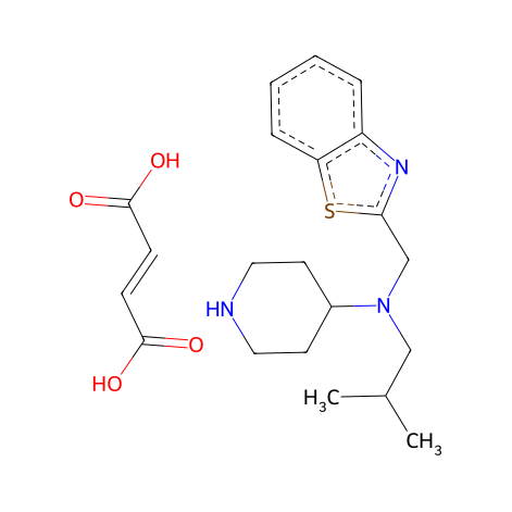 CC(C)CN(Cc1nc2ccccc2s1)C1CCNCC1.O=C(O)/C=C/C(=O)O